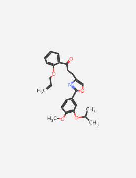 C=CCOc1ccccc1C(=O)CCc1coc(-c2ccc(OC)c(OC(C)C)c2)n1